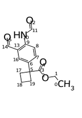 CCOC(=O)C1(c2ccc(NC=O)c(C=O)c2)CCC1